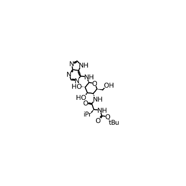 CC(C)[C@H](NC(=O)OC(C)(C)C)C(=O)N[C@@H]1[C@@H](O)[C@H](O)[C@@H](Nc2ncnc3nc[nH]c23)O[C@H]1CO